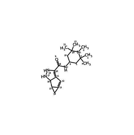 CN1C(C)(C)CC(NC(=O)C2=C3C=C4CC4C3NN2)CC1(C)C